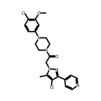 COc1cc(N2CCN(C(=O)Cn3nc(-c4ccncc4)c(Cl)c3C)CC2)ccc1Cl